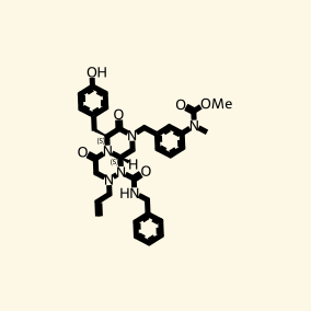 C=CCN1CC(=O)N2[C@@H](Cc3ccc(O)cc3)C(=O)N(Cc3cccc(N(C)C(=O)OC)c3)C[C@@H]2N1C(=O)NCc1ccccc1